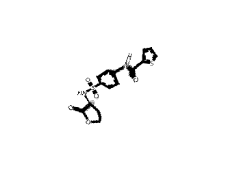 O=C(Nc1ccc(S(=O)(=O)N[C@H]2CCOC2=O)cc1)c1cccs1